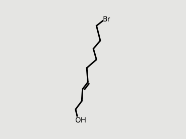 OCC/C=C/CCCCCBr